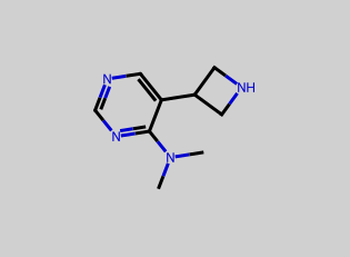 CN(C)c1ncncc1C1CNC1